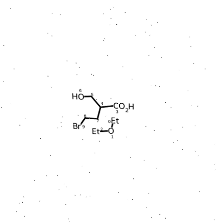 CCOCC.O=C(O)C(CO)CCBr